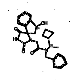 C[C@@H](C1CCC1)N(Cc1ccccc1)C(=O)CN1C(=O)NC(=O)C12C[C@H](O)c1ccccc12